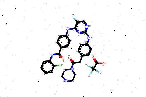 O=C(Nc1ccccc1Cl)c1ccc(Nc2nc(Nc3ccc(CC(=O)N4CCNCC4)cc3)ncc2F)cc1.O=C(O)C(F)(F)F